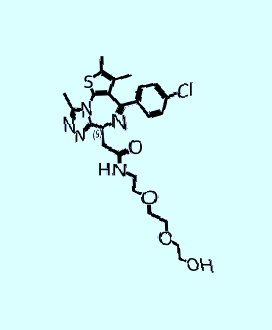 Cc1sc2c(c1C)C(c1ccc(Cl)cc1)=N[C@@H](CC(=O)NCCOCCOCCO)c1nnc(C)n1-2